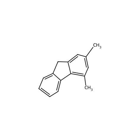 Cc1cc(C)c2c(c1)Cc1ccccc1-2